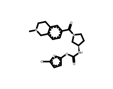 CN1CCc2cc(C(=O)N3CC[C@@H](NC(=O)Oc4ccc(Cl)s4)C3)ccc2C1